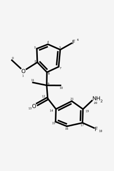 COc1ccc(F)cc1C(C)(C)C(=O)c1ccc(F)c(N)c1